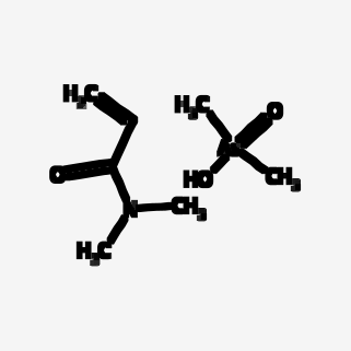 C=CC(=O)N(C)C.C[As](C)(=O)O